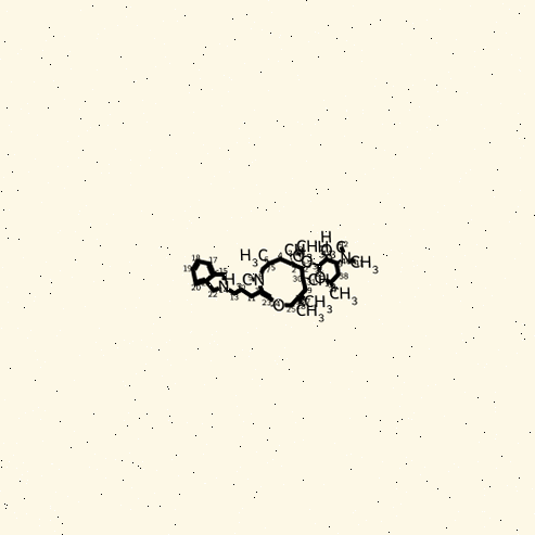 CO[C@]1(C)C[C@@H](C)CN(C)C(CCCN2Cc3ccccc3C2)=COCC(C)(C)C[C@@H](C)[C@H]1O[C@@H]1O[C@H](C)C[C@H](N(C)C)[C@H]1O